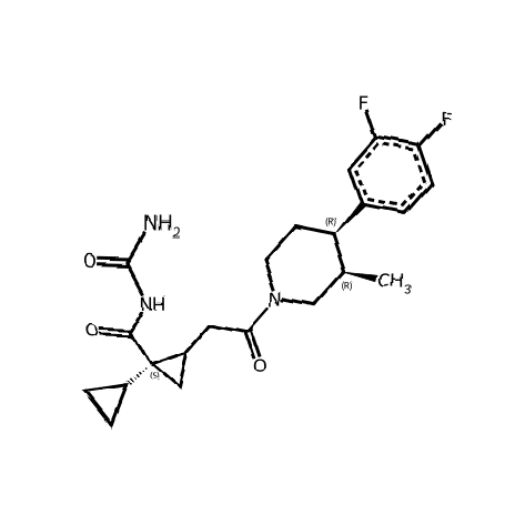 C[C@H]1CN(C(=O)CC2C[C@]2(C(=O)NC(N)=O)C2CC2)CC[C@H]1c1ccc(F)c(F)c1